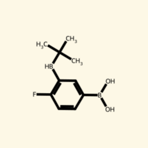 CC(C)(C)Bc1cc(B(O)O)ccc1F